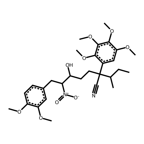 CCC(C)C(C#N)(CCC(O)C(Cc1ccc(OC)c(OC)c1)[N+](=O)[O-])c1cc(OC)c(OC)c(OC)c1OC